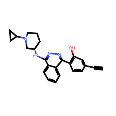 C#Cc1ccc(-c2nnc(N[C@@H]3CCCN(C4CC4)C3)c3ccccc23)c(O)c1